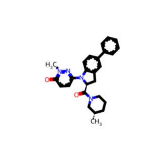 C[C@H]1CCCN(C(=O)[C@@H]2Cc3cc(-c4ccccc4)ccc3N2c2ccc(=O)n(C)n2)C1